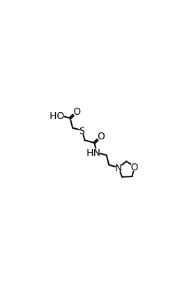 O=C(O)CSCC(=O)NCCN1CCOC1